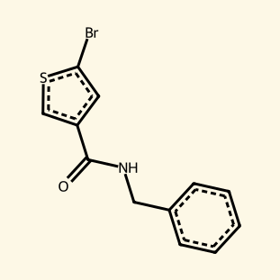 O=C(NCc1ccccc1)c1csc(Br)c1